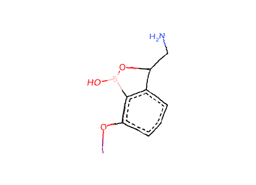 NCC1OB(O)c2c(OI)cccc21